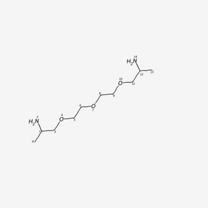 CC(N)COCCOCCOCC(C)N